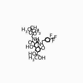 CC(C)(C)OC(=O)CNC(=O)c1c(O)c2cc(C(C)(O)CO)cc3c2n(c1=O)C(Cc1ccc(C(F)(F)F)cc1)CO3